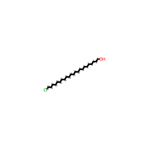 OCCCCCCCCCCCCCCCCCCCCCCCCl